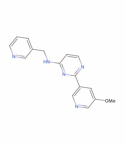 COc1cncc(-c2nccc(NCc3cccnc3)n2)c1